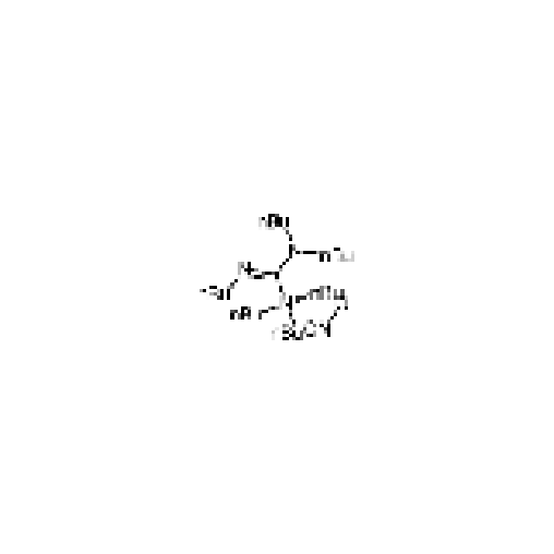 CCCCN=C(N(CCCC)CCCC)[N+](CCCC)(CCCC)CCCC.O=N[O-]